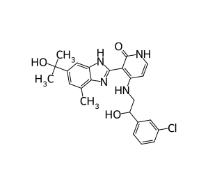 Cc1cc(C(C)(C)O)cc2[nH]c(-c3c(NCC(O)c4cccc(Cl)c4)cc[nH]c3=O)nc12